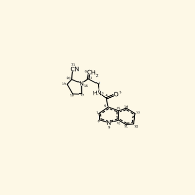 C=C(CNC(=O)c1ccnc2ccccc12)N1CCCC1C#N